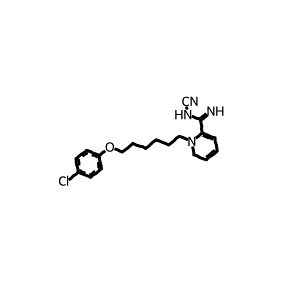 N#CNC(=N)C1=CC=CCN1CCCCCCOc1ccc(Cl)cc1